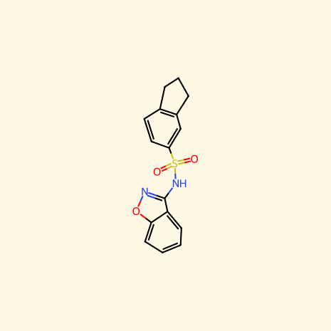 O=S(=O)(Nc1noc2ccccc12)c1ccc2c(c1)CCC2